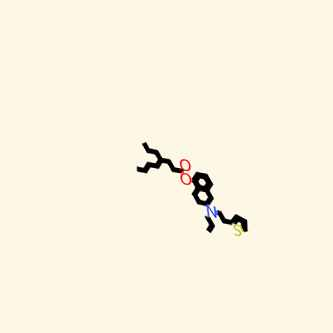 CCCCC(CCC)CCC(=O)Oc1cccc2c1CCC(N(CCC)CCc1cccs1)C2